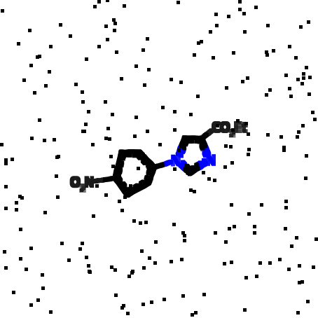 CCOC(=O)c1cn(-c2ccc([N+](=O)[O-])cc2)cn1